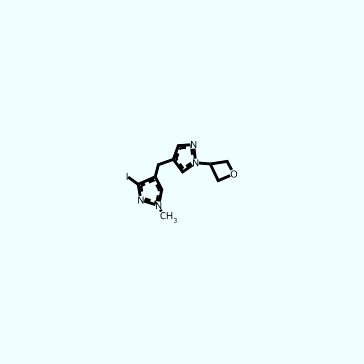 Cn1cc(Cc2cnn(C3COC3)c2)c(I)n1